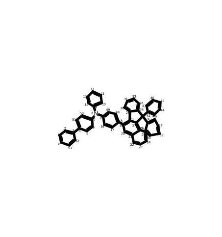 c1ccc(-c2ccc(N(c3ccccc3)c3ccc(-c4cc5ccccc5c5c4-c4ccccc4C5(c4ccccc4)c4ccccc4)cc3)cc2)cc1